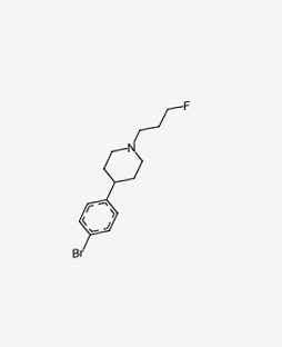 FCCCN1CCC(c2ccc(Br)cc2)CC1